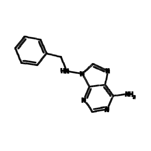 Nc1ncnc2c1ncn2NCc1ccccc1